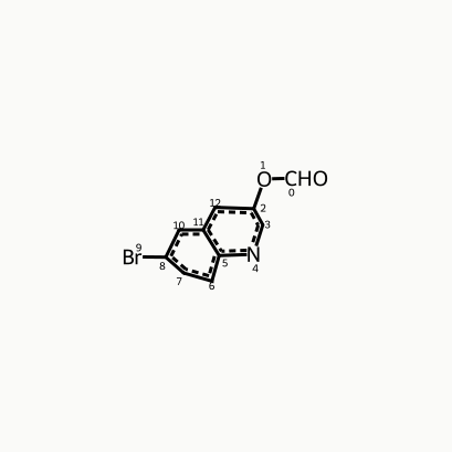 O=COc1cnc2ccc(Br)cc2c1